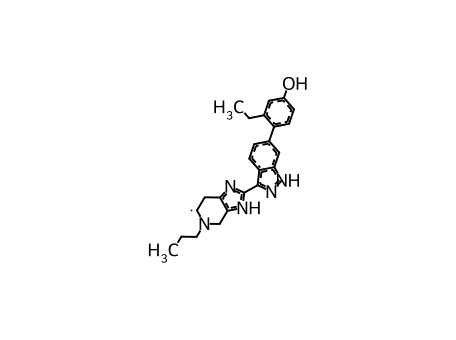 CCCN1[CH]Cc2nc(-c3n[nH]c4cc(-c5ccc(O)cc5CC)ccc34)[nH]c2C1